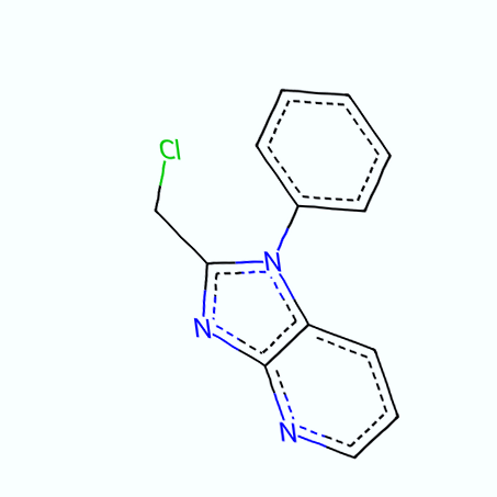 ClCc1nc2ncccc2n1-c1ccccc1